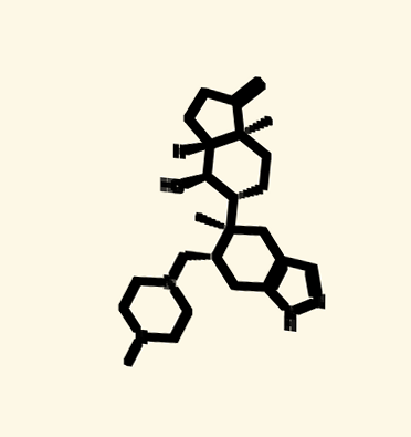 C=C1CC[C@H]2[C@H](O)[C@@H]([C@@]3(C)Cc4cn[nH]c4C[C@@H]3CN3CCN(C)CC3)CC[C@]12C